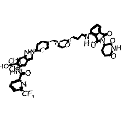 CC(C)(O)c1cc2nn([C@H]3CC[C@H](CN4CCO[C@@H](CCCNc5cccc6c5C(=O)N(C5CCC(=O)NC5=O)C6=O)C4)CC3)cc2cc1NC(=O)c1cccc(C(F)(F)F)n1